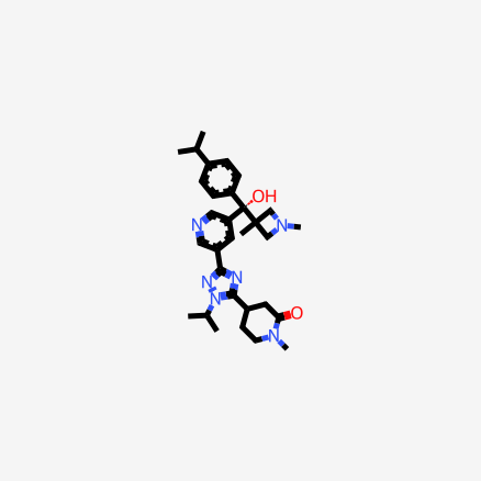 CC(C)c1ccc([C@](O)(c2cncc(-c3nc(C4CCN(C)C(=O)C4)n(C(C)C)n3)c2)C2(C)CN(C)C2)cc1